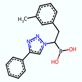 Cc1cccc(CC(B(O)O)n2cc(-c3ccccc3)nn2)c1